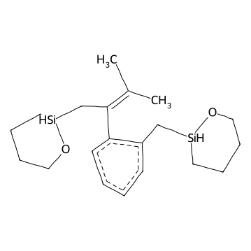 CC(C)=C(C[SiH]1CCCCO1)c1ccccc1C[SiH]1CCCCO1